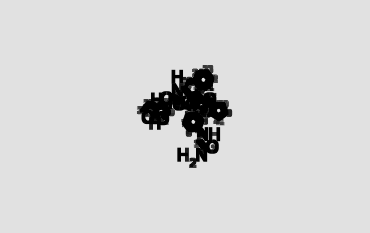 NC(=O)CNc1cccc(S(=O)(=O)N(C[C@H](O)[C@H](Cc2ccccc2)NC(=O)O[C@@H]2CO[C@@H]3OCC[C@@H]32)OC2CCCC2)c1